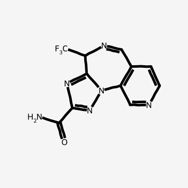 NC(=O)c1nc2n(n1)-c1cnccc1C=NC2C(F)(F)F